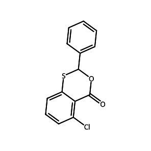 O=C1OC(c2ccccc2)Sc2cccc(Cl)c21